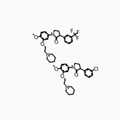 COc1ccc(N2CCC(c3cccc(C(F)(F)F)c3)C2=O)cc1OCCN1CCCCC1.COc1ccc(N2CCC(c3cccc(Cl)c3)C2=O)cc1OCCN1CCCCC1